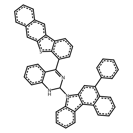 c1ccc(-c2cc3c(c4ccccc24)c2ccccc2n3C2N=C(c3cccc4c3sc3cc5ccccc5cc34)c3ccccc3N2)cc1